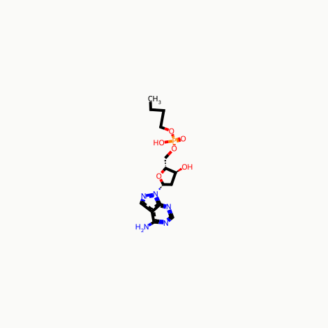 CCCCOP(=O)(O)OC[C@H]1O[C@@H](n2ncc3c(N)ncnc32)C[C@@H]1O